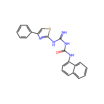 N=C(NC(=O)Nc1cccc2ccccc12)Nc1nc(-c2ccccc2)cs1